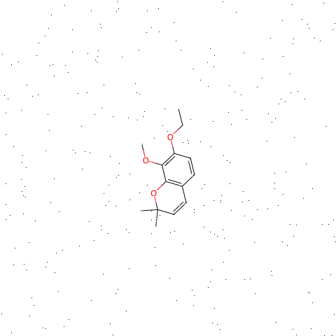 CCOc1ccc2c(c1OC)OC(C)(C)C=C2